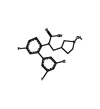 CN1CCC(CN(C(=O)O)c2ccc(F)cc2-c2cc(F)cc(Cl)c2)C1